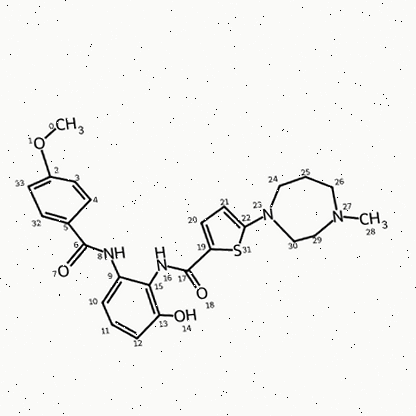 COc1ccc(C(=O)Nc2cccc(O)c2NC(=O)c2ccc(N3CCCN(C)CC3)s2)cc1